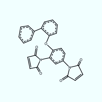 O=C1C=CC(=O)N1c1ccc(Oc2ccccc2-c2ccccc2)c(N2C(=O)C=CC2=O)c1